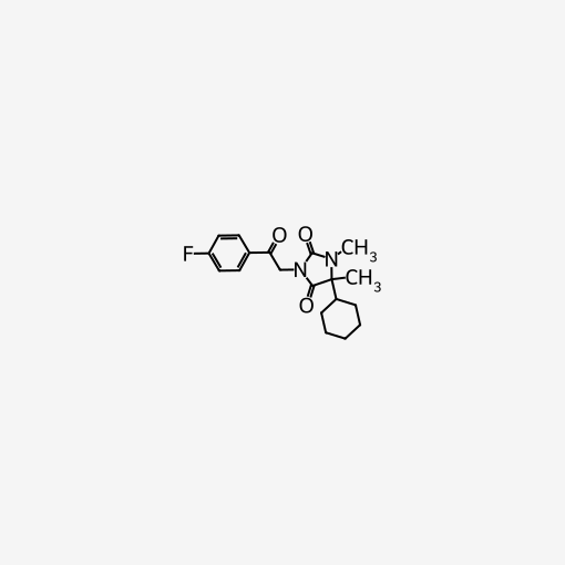 CN1C(=O)N(CC(=O)c2ccc(F)cc2)C(=O)C1(C)C1CCCCC1